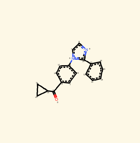 O=C(c1ccc(-n2ccnc2-c2ccccc2)cc1)C1CC1